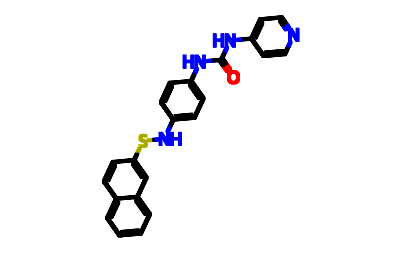 O=C(Nc1ccncc1)Nc1ccc(NSc2ccc3ccccc3c2)cc1